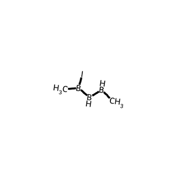 CBBB(C)I